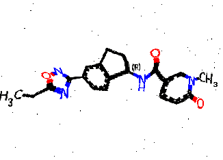 CCc1nc(-c2ccc3c(c2)CC[C@H]3NC(=O)c2ccc(=O)n(C)c2)no1